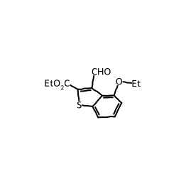 CCOC(=O)c1sc2cccc(OCC)c2c1C=O